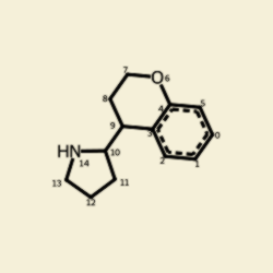 c1ccc2c(c1)OCCC2C1CCCN1